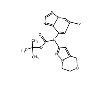 CC(C)(C)OC(=O)N(c1cc2n(n1)CCOC2)c1cc(Br)cn2ncnc12